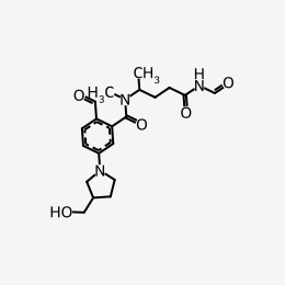 CC(CCC(=O)NC=O)N(C)C(=O)c1cc(N2CCC(CO)C2)ccc1C=O